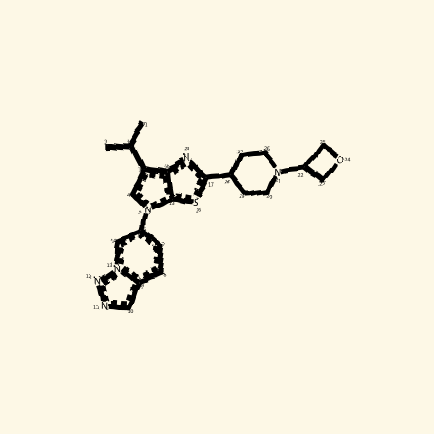 CC(C)c1cn(-c2ccc3cnnn3c2)c2sc(C3CCN(C4COC4)CC3)nc12